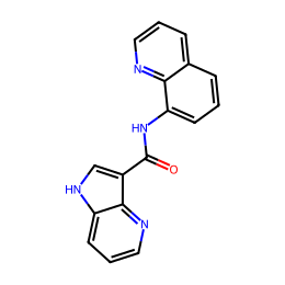 O=C(Nc1cccc2cccnc12)c1c[nH]c2cccnc12